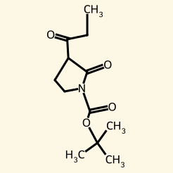 CCC(=O)C1CCN(C(=O)OC(C)(C)C)C1=O